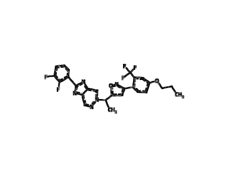 CCCOc1ccc(-c2cc(C(C)n3cc4nc(-c5cccc(F)c5F)nc-4cn3)on2)c(C(F)(F)F)c1